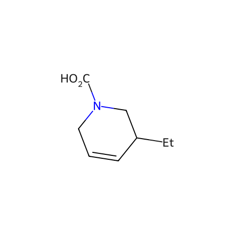 CCC1C=CCN(C(=O)O)C1